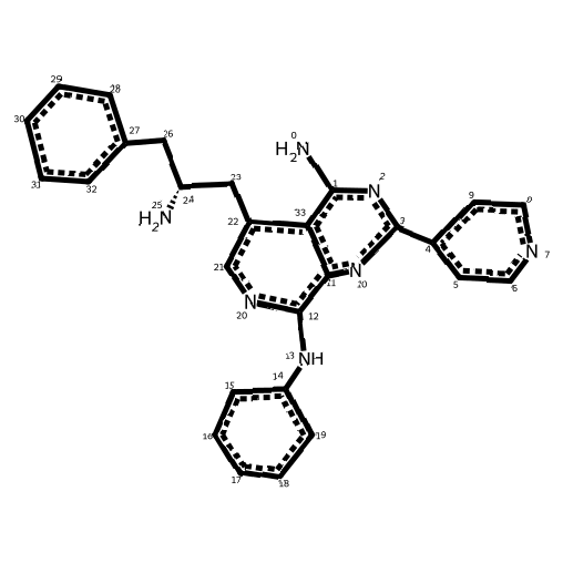 Nc1nc(-c2ccncc2)nc2c(Nc3ccccc3)ncc(C[C@H](N)Cc3ccccc3)c12